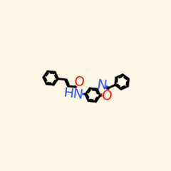 O=C(C=Cc1ccccc1)Nc1ccc2oc(-c3ccccc3)nc2c1